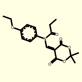 CCOc1ccc(N(C=C2C(=O)OC(C)(C)OC2=O)C(=O)CC)cc1